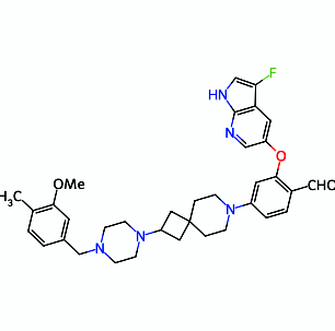 COc1cc(CN2CCN(C3CC4(CCN(c5ccc(C=O)c(Oc6cnc7[nH]cc(F)c7c6)c5)CC4)C3)CC2)ccc1C